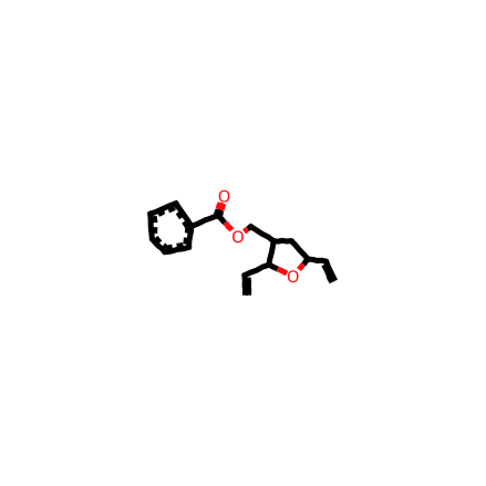 C=CC1CC(COC(=O)c2ccccc2)C(C=C)O1